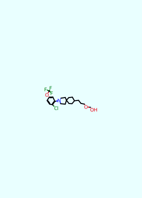 OCOCCCC1CCC2(CC1)CCN(c1cc(OC(F)(F)F)ccc1Cl)CC2